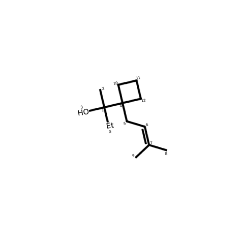 CCC(C)(O)C1(CC=C(C)C)CCC1